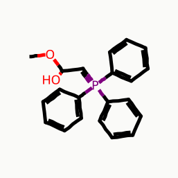 COC(O)C=P(c1ccccc1)(c1ccccc1)c1ccccc1